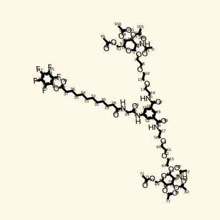 CC(=O)N[C@@H]1C(OCCOCCOCCNC(=O)c2cc(NC(=O)CNC(=O)CCCCCCCCCCC(=O)Oc3c(F)c(F)c(F)c(F)c3F)cc(C(=O)NCCOCCOCCOC3O[C@H](COC(C)=O)[C@H](OC(C)=O)[C@H](OC(C)=O)[C@H]3NC(C)=O)c2)O[C@@H](COC(C)=O)[C@@H](OC(C)=O)[C@H]1OC(C)=O